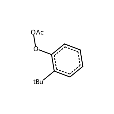 CC(=O)OOc1ccccc1C(C)(C)C